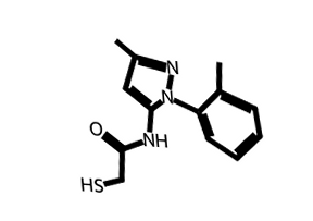 Cc1cc(NC(=O)CS)n(-c2ccccc2C)n1